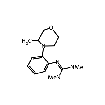 CNC(=Nc1ccccc1N1CCOCC1C)NC